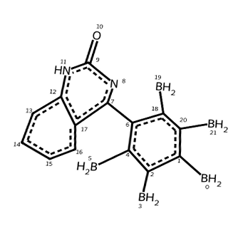 Bc1c(B)c(B)c(-c2nc(=O)[nH]c3ccccc23)c(B)c1B